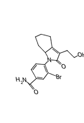 NC(=O)c1ccc(N2C(=O)C(CCO)=C3CCCCC32)c(Br)c1